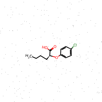 CCCC[C@H](Oc1ccc(Cl)cc1)C(=O)O